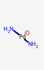 [NH2][Pd][NH2].[O]